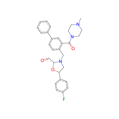 CN1CCN(C(=O)c2cc(-c3ccccc3)ccc2CN2CC(c3ccc(F)cc3)OC2C=O)CC1